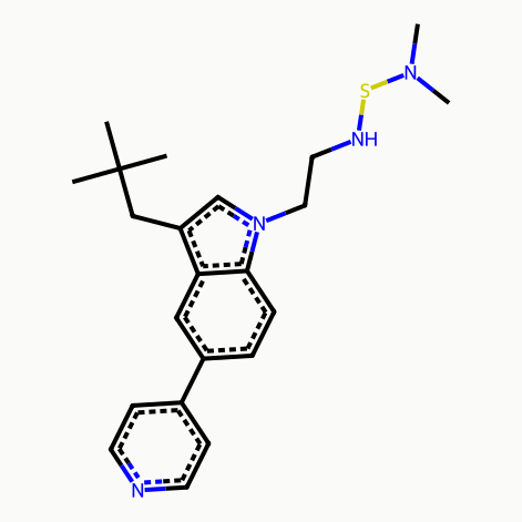 CN(C)SNCCn1cc(CC(C)(C)C)c2cc(-c3ccncc3)ccc21